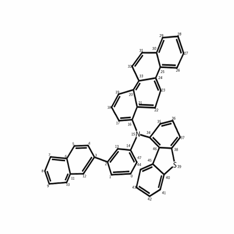 c1cc(-c2ccc3ccccc3c2)cc(N(c2cccc3c2ccc2c4ccccc4ccc32)c2cccc3sc4ccccc4c23)c1